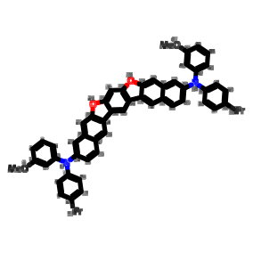 COc1cccc(N(c2ccc(C(C)C)cc2)c2ccc3cc4c(cc3c2)oc2cc3oc5cc6cc(N(c7ccc(C(C)C)cc7)c7cccc(OC)c7)ccc6cc5c3cc24)c1